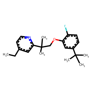 CCc1ccnc(C(C)(C)COc2cc(C(C)(C)C)ccc2F)c1